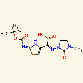 CN1CCN(N=C(C(=O)O)c2csc(=NC(=O)OC(C)(C)C)[nH]2)C1=O